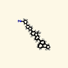 CC1(C)c2cc(-c3ccc4cc(-c5cccc(C#N)c5)ccc4c3)ccc2-c2ccc(-c3ccc4c5c(cccc35)-c3ccccc3-4)cc21